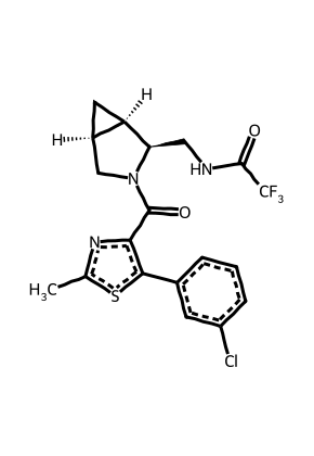 Cc1nc(C(=O)N2C[C@H]3C[C@H]3[C@H]2CNC(=O)C(F)(F)F)c(-c2cccc(Cl)c2)s1